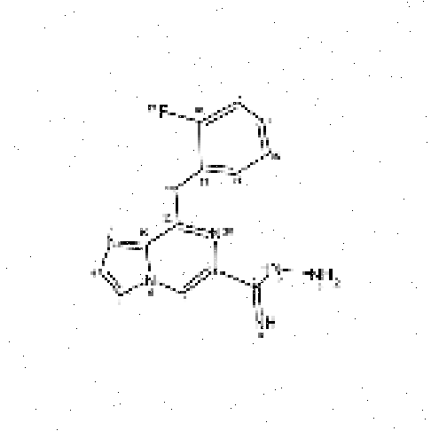 N=C(NN)c1cn2ccnc2c(Cc2ccccc2F)n1